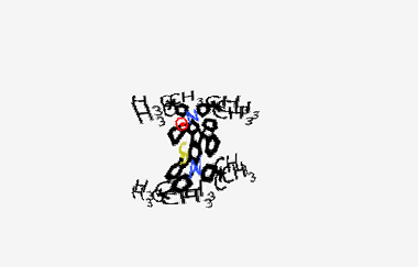 CC(C)(C)c1ccc(N(c2ccc(C(C)(C)C)cc2)c2cc3c(c4c2oc2ccccc24)-c2c(cc(N(c4ccc(C(C)(C)C)cc4)c4ccc(C(C)(C)C)cc4)c4c2sc2ccccc24)C3(c2ccccc2)c2ccccc2)cc1